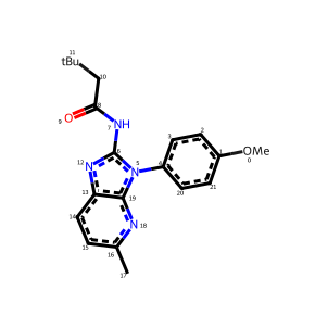 COc1ccc(-n2c(NC(=O)CC(C)(C)C)nc3ccc(C)nc32)cc1